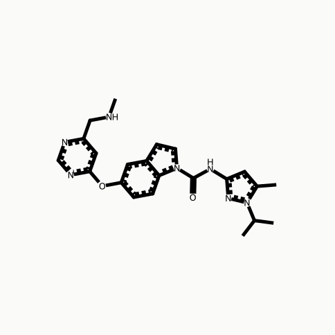 CNCc1cc(Oc2ccc3c(ccn3C(=O)Nc3cc(C)n(C(C)C)n3)c2)ncn1